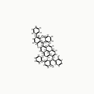 Cc1ccccc1N(c1cc(-c2ccccc2)ccc1C)c1ccc2ccc3c(N(c4cc(-c5ccccc5)ccc4C)c4ccccc4C(F)(F)F)ccc4ccc1c2c43